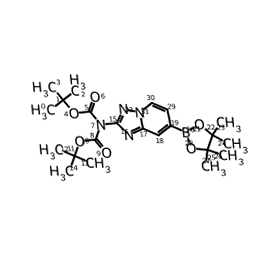 CC(C)(C)OC(=O)N(C(=O)OC(C)(C)C)c1nc2cc(B3OC(C)(C)C(C)(C)O3)ccn2n1